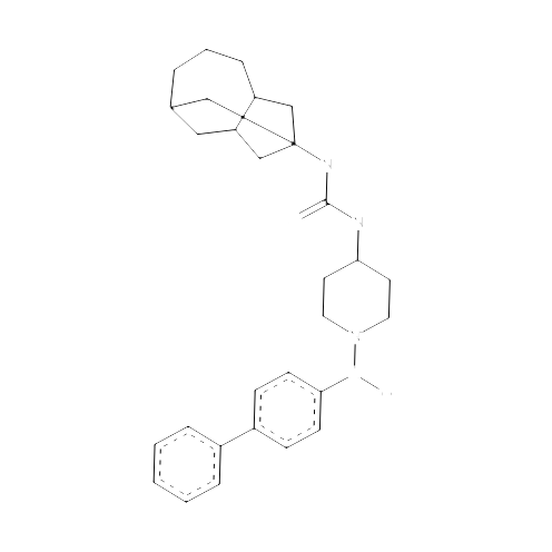 O=C(NC1CCN([S+]([O-])c2ccc(-c3ccccc3)cc2)CC1)NC12CC3CCCC(C1)C(C3)C2